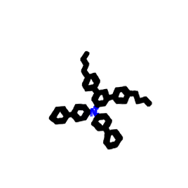 CCCCc1ccc(-c2cc(-c3ccc(CCCC)cc3)cc(N(c3ccc(-c4ccccc4)cc3)c3ccc(-c4ccccc4)cc3)c2)cc1